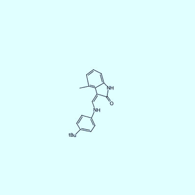 Cc1cccc2c1C(=CNc1ccc(C(C)(C)C)cc1)C(=O)N2